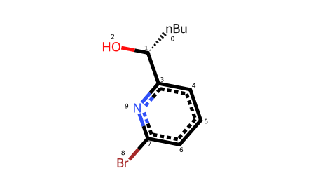 CCCC[C@@H](O)c1cccc(Br)n1